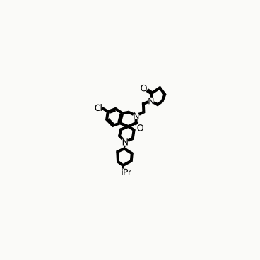 CC(C)[C@H]1CC[C@@H](N2CCC3(CC2)C(=O)N(CCN2CCCCC2=O)Cc2cc(Cl)ccc23)CC1